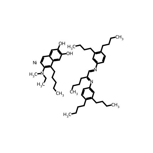 CCCCC(C=Nc1ccc(CCCC)c(CCCC)c1)=Nc1ccc(CCCC)c(CCCC)c1.CCCCCc1c(N(C)CC)ccc2cc(O)c(O)cc12.[Ni]